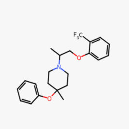 CC(COc1ccccc1C(F)(F)F)N1CCC(C)(Oc2ccccc2)CC1